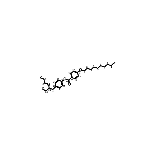 CCCCCCCCCCOc1ccc(C(=O)Oc2ccc(CC(CC)OCCC)cc2)cc1